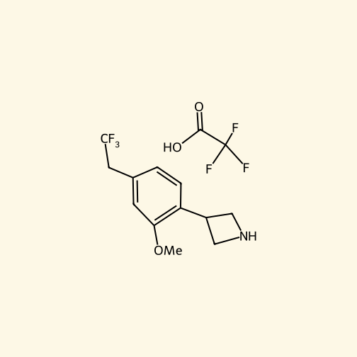 COc1cc(CC(F)(F)F)ccc1C1CNC1.O=C(O)C(F)(F)F